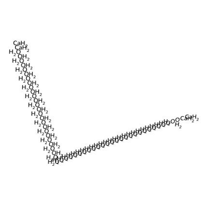 O.O.O.O.O.O.O.O.O.O.O.O.O.O.O.O.O.O.O.O.O.O.O.O.O.O.O.O.O.O.O.O.O.O.O.O.O.O.O.O.O.O.O.O.O.O.O.O.O.O.O.O.[CaH2].[CaH2].[CaH2].[CaH2]